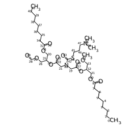 CCCCCCCCC(=O)OCC(COC)OC(=O)CN(CC(=O)OC(COC=O)COC(=O)CCCCCCCC)C(=O)SCCCN(C)C